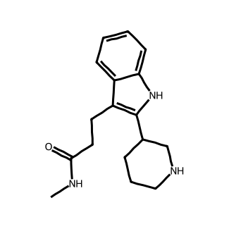 CNC(=O)CCc1c(C2CCCNC2)[nH]c2ccccc12